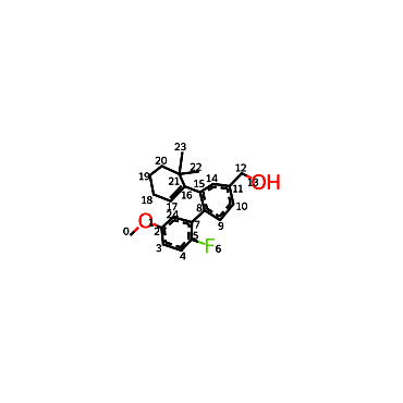 COc1ccc(F)c(-c2ccc(CO)cc2C2=CCCCC2(C)C)c1